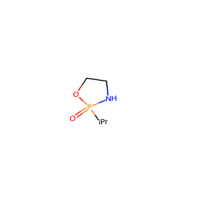 CC(C)P1(=O)NCCO1